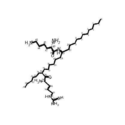 CCCCCCCCCCCCC(CCCCCCC(CCCCCC)C(=O)[C@@H](N)CCCNC(=N)N)NC(=O)[C@@H](N)CCCCN